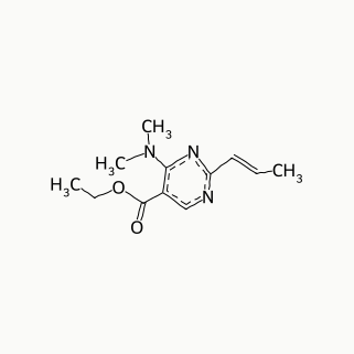 C/C=C/c1ncc(C(=O)OCC)c(N(C)C)n1